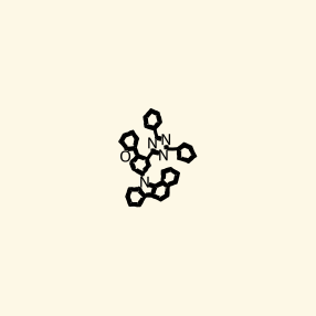 c1ccc(-c2nc(-c3ccccc3)nc(-c3cc(-n4c5ccccc5c5ccc6ccccc6c54)cc4oc5ccccc5c34)n2)cc1